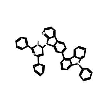 C1=C(c2ccccc2)N=C(c2ccccc2)NC1n1c2cc(-c3cccc4c3c3ccccc3n4-c3ccccc3)ccc2c2cccnc21